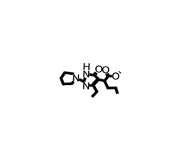 CCCC(C(=O)OC)c1c(CC)nc(N2CCCCC2)[nH]c1=O